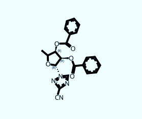 CC1O[C@@H](n2cnc(C#N)n2)[C@H](OC(=O)c2ccccc2)[C@@H]1OC(=O)c1ccccc1